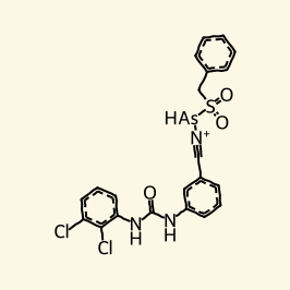 O=C(Nc1cccc(C#[N+][AsH]S(=O)(=O)Cc2ccccc2)c1)Nc1cccc(Cl)c1Cl